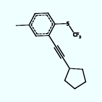 Cc1ccc(SC(F)(F)F)c(C#CC2CCCC2)c1